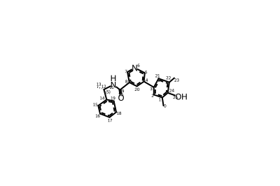 Cc1cc(-c2cncc(C(=O)N[C@@H](C)c3ccccc3)c2)cc(C)c1O